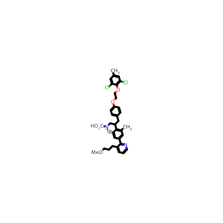 COCCCc1cccnc1-c1ccc(C(Cc2ccc(OCCOc3c(Cl)cc(C)cc3Cl)cc2)CN(C(=O)O)C(C)(C)C)c(C)c1